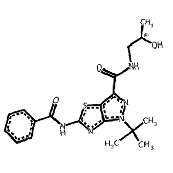 C[C@@H](O)CNC(=O)c1nn(C(C)(C)C)c2nc(NC(=O)c3ccccc3)sc12